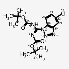 CC(C)(C)OC(=O)/N=C(/NC(=O)OC(C)(C)C)n1nnc2cc(Cl)ccc21